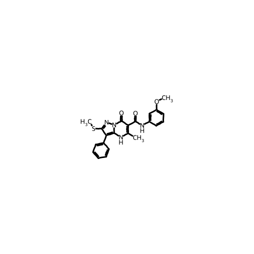 COc1cccc(NC(=O)c2c(C)[nH]c3c(-c4ccccc4)c(SC)nn3c2=O)c1